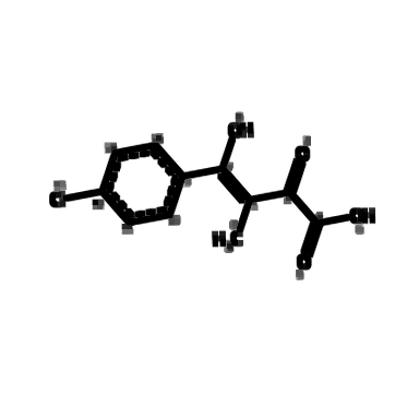 C/C(C(=O)C(=O)O)=C(/O)c1ccc(Cl)cc1